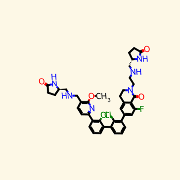 COc1nc(-c2cccc(-c3cccc(-c4cc(F)c5c(c4)CCN(CCNC[C@@H]4CCC(=O)N4)C5=O)c3Cl)c2Cl)ccc1CNC[C@H]1CCC(=O)N1